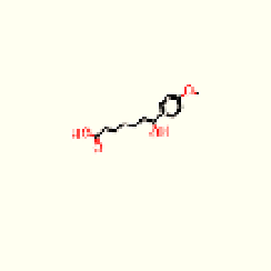 COc1ccc(C(O)CCCCCC(=O)O)cc1